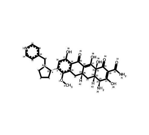 COc1c([C@@H]2CCCN2Cc2ccncc2)cc(O)c2c1C[C@H]1C[C@H]3[C@H](N)C(O)=C(C(N)=O)C(=O)[C@@]3(O)C(O)=C1C2=O